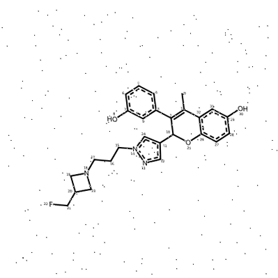 CC1=C(c2cccc(O)c2)C(c2cnn(CCCN3CC(CF)C3)c2)Oc2ccc(O)cc21